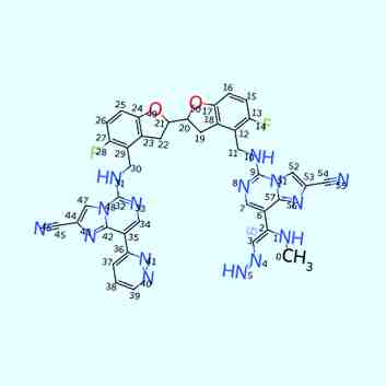 CN/C(=C\N=N)c1cnc(NCc2c(F)ccc3c2CC(C2Cc4c(ccc(F)c4CNc4ncc(-c5cccnn5)c5nc(C#N)cn45)O2)O3)n2cc(C#N)nc12